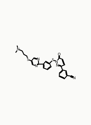 CN(C)CCCSc1cnc(-c2cccc(Sn3nc(-c4cccc(C#N)c4)ccc3=O)c2)nc1